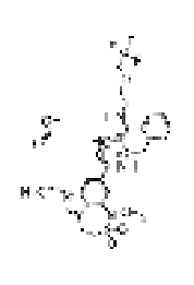 CCn1cc2c3c(cc(C(=O)N[C@@H](Cc4ccccc4)[C@H](O)CNCCOCC(F)(F)F)cc31)N(C)S(=O)(=O)CC2.O=CO